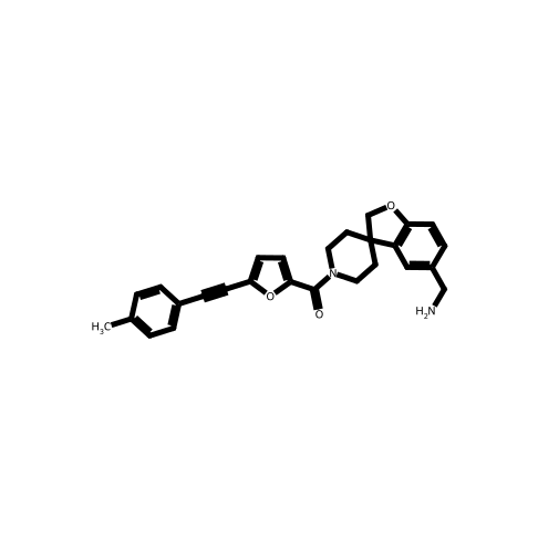 Cc1ccc(C#Cc2ccc(C(=O)N3CCC4(CC3)COc3ccc(CN)cc34)o2)cc1